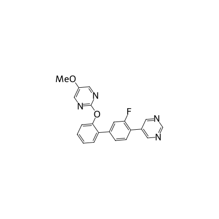 COc1cnc(Oc2ccccc2-c2ccc(-c3cncnc3)c(F)c2)nc1